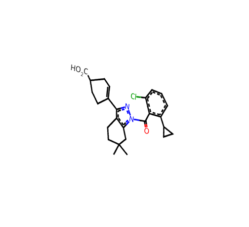 CC1(C)CCc2c(C3=CCC(C(=O)O)CC3)nn(C(=O)c3c(Cl)cccc3C3CC3)c2C1